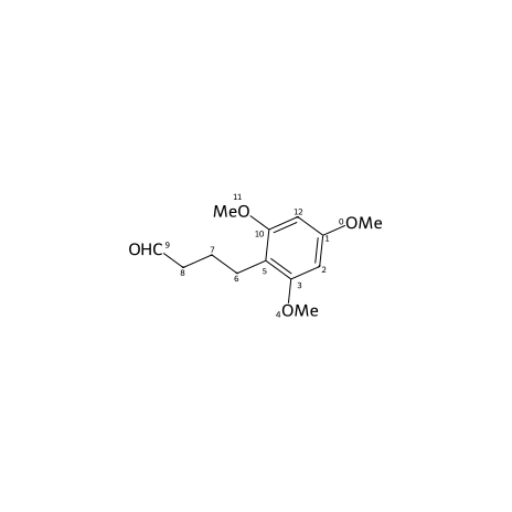 COc1cc(OC)c(CCCC=O)c(OC)c1